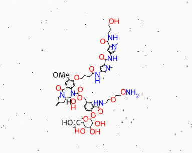 C=C1C[C@H]2C(O)N(C(=O)OCc3ccc(O[C@@H]4O[C@H](C(=O)O)[C@@H](O)[C@H](O)[C@H]4O)c(C(=O)NCCOCCON)c3)c3cc(OCCCC(=O)Nc4cc(C(=O)Nc5cc(C(=O)NCCCO)n(C)c5)n(C)c4)c(OC)cc3C(=O)N2C1